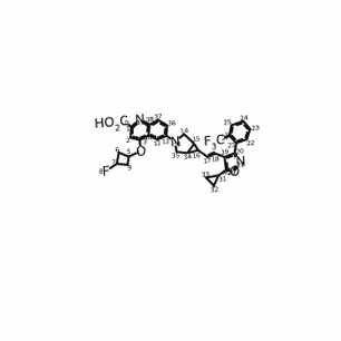 O=C(O)c1cc(OC2CC(F)C2)c2cc(N3CC4C(/C=C/c5c(-c6ccccc6C(F)(F)F)noc5C5CC5)C4C3)ccc2n1